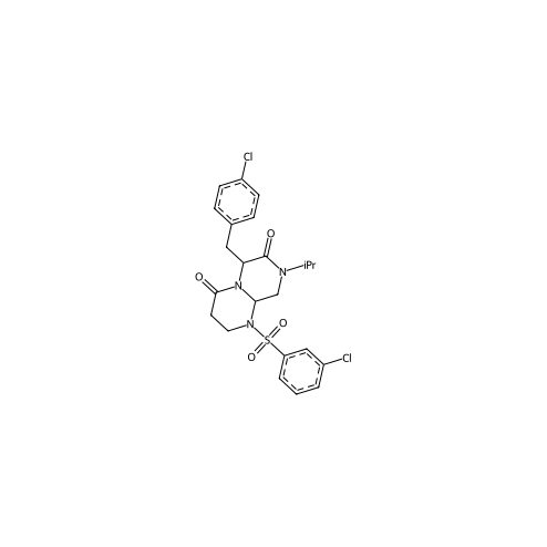 CC(C)N1CC2N(C(=O)CCN2S(=O)(=O)c2cccc(Cl)c2)C(Cc2ccc(Cl)cc2)C1=O